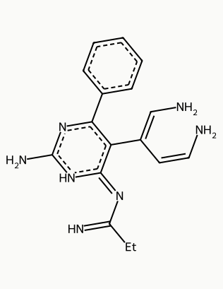 CCC(=N)/N=c1\[nH]c(N)nc(-c2ccccc2)c1C(/C=C\N)=C/N